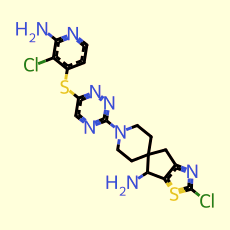 Nc1nccc(Sc2cnc(N3CCC4(CC3)Cc3nc(Cl)sc3C4N)nn2)c1Cl